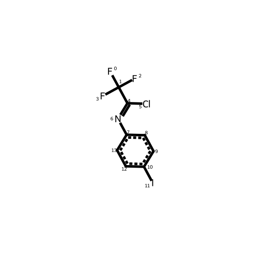 FC(F)(F)C(Cl)=Nc1ccc(I)cc1